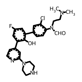 CN(C)CCN(C=O)c1ccc(-c2cc(F)cc(-c3ccnc(N4CCNCC4)c3)c2O)cc1Cl